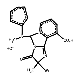 CC(C)C1(C)N=C2c3c(C(=O)O)ccc[n+]3C(N(C)c3ccccc3)N2C1=O.[OH-]